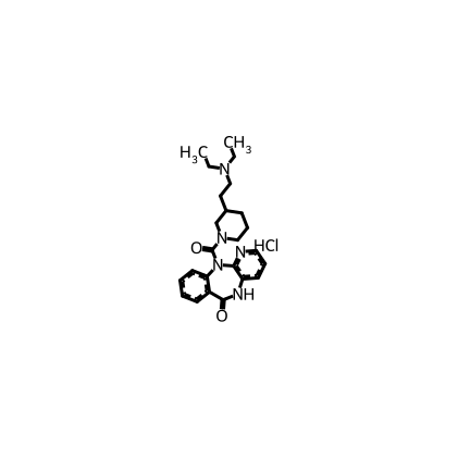 CCN(CC)CCC1CCCN(C(=O)N2c3ccccc3C(=O)Nc3cccnc32)C1.Cl